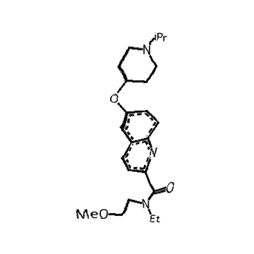 CCN(CCOC)C(=O)c1ccc2cc(OC3CCN(C(C)C)CC3)ccc2n1